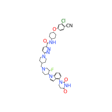 N#Cc1ccc(O[C@H]2CC[C@H](NC(=O)c3ccc(N4CCC(CN5CC[C@H](n6ccc7c(N8CCC(=O)NC8=O)cccc76)[C@H](F)C5)CC4)nn3)CC2)cc1Cl